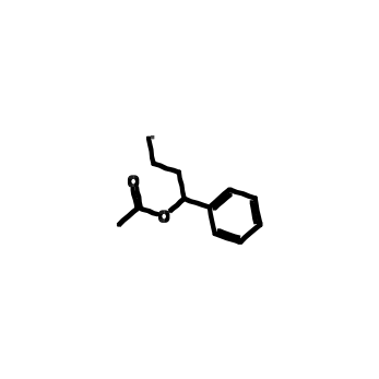 [CH2]CCC(OC(C)=O)c1ccccc1